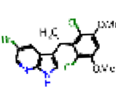 COc1cc(OC)c(Cl)c([C@@H](C)c2c[nH]c3ncc(Br)cc23)c1Cl